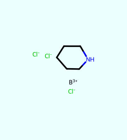 C1CCNCC1.[B+3].[Cl-].[Cl-].[Cl-]